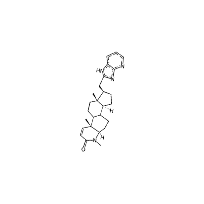 CN1C(=O)C=C[C@]2(C)C3CC[C@]4(C)[C@@H](Cc5nc6ncccc6[nH]5)CC[C@H]4C3CC[C@@H]12